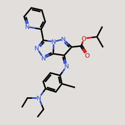 CCN(CC)c1ccc(/N=C2/C(C(=O)OC(C)C)=Nn3c2nnc3-c2ccccn2)c(C)c1